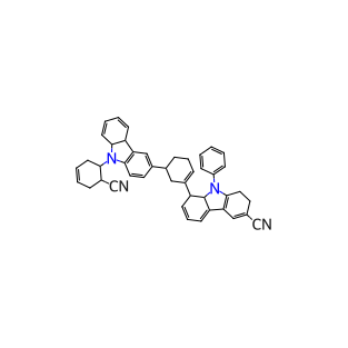 N#CC1=CC2=C(CC1)N(c1ccccc1)C1C2=CC=CC1C1=CCCC(c2ccc3c(c2)C2C=CC=CC2N3C2CC=CCC2C#N)C1